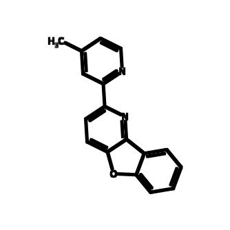 Cc1ccnc(-c2ccc3oc4ccccc4c3n2)c1